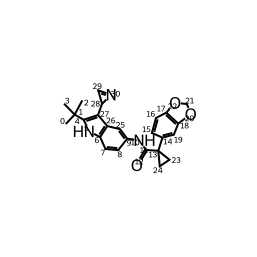 CC(C)(C)c1[nH]c2ccc(NC(=O)C3(c4ccc5c(c4)OCO5)CC3)cc2c1C1C=N1